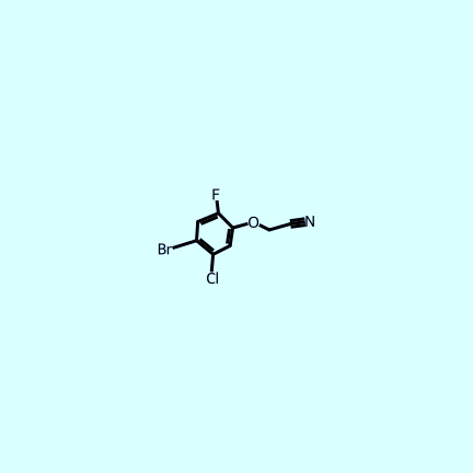 N#CCOc1cc(Cl)c(Br)cc1F